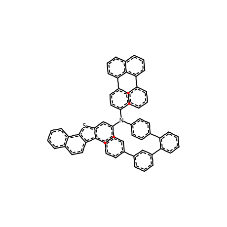 c1ccc(-c2cccc(-c3ccccc3-c3ccc(N(c4ccc(-c5cccc6cccc(-c7ccccc7)c56)cc4)c4ccc5c(c4)sc4c6ccccc6ccc54)cc3)c2)cc1